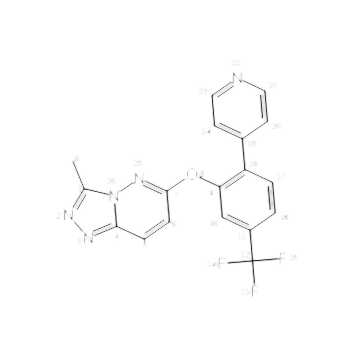 Cc1nnc2ccc(Oc3cc(C(F)(F)F)ccc3-c3ccncc3)nn12